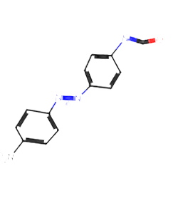 O=C=Nc1ccc(/N=N/c2ccc([N+](=O)[O-])cc2)cc1